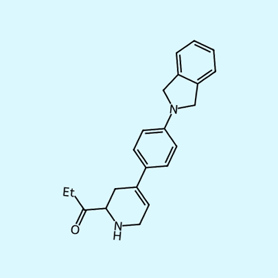 CCC(=O)C1CC(c2ccc(N3Cc4ccccc4C3)cc2)=CCN1